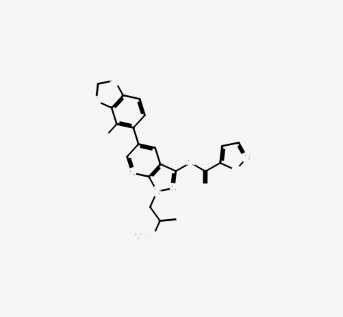 COC(C)Cn1nc(NC(=O)c2ccns2)c2cc(-c3ccc4c(c3F)OCO4)cnc21